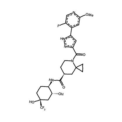 COc1cc(-c2cc(C(=O)N3CC[C@H](C(=O)N[C@@H]4CC[C@](O)(C(F)(F)F)C[C@H]4O)CC34CC4)n[nH]2)c(F)cn1